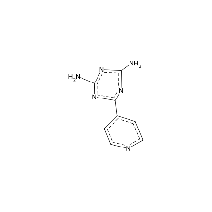 Nc1nc(N)nc(-c2ccncc2)n1